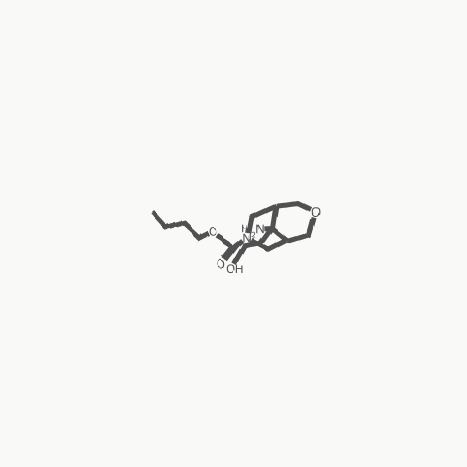 CCCCOC(=O)N1CC2COCC(C1)C2(N)CCO